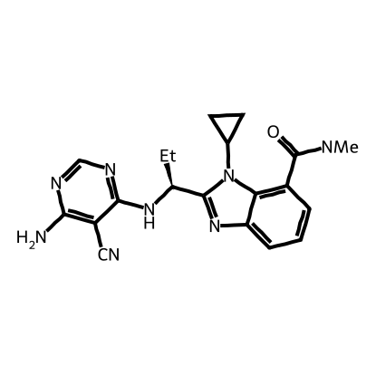 CC[C@H](Nc1ncnc(N)c1C#N)c1nc2cccc(C(=O)NC)c2n1C1CC1